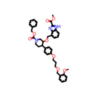 COC(=O)c1nc2c(COC3CN(C(=O)OCc4ccccc4)CCC3c3ccc(OCCCOCc4ccccc4OC)cc3)cccc2[nH]1